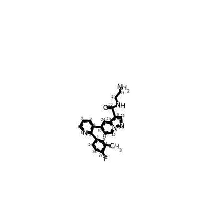 Cc1cc(-c2ncccc2-c2ccn3ncc(C(=O)NCCN)c3c2)ccc1F